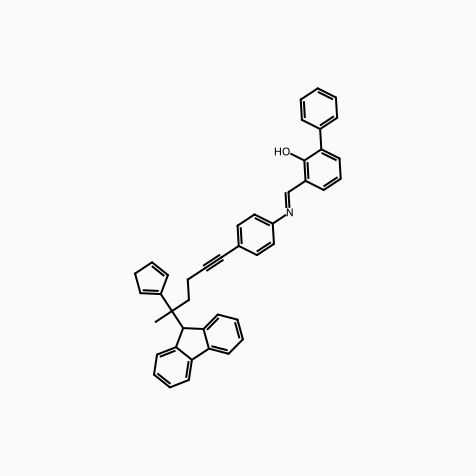 CC(CCC#Cc1ccc(/N=C/c2cccc(-c3ccccc3)c2O)cc1)(C1=CCC=C1)C1c2ccccc2-c2ccccc21